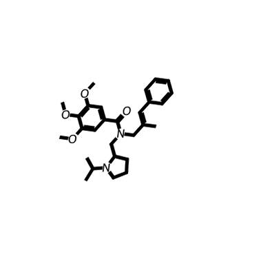 COc1cc(C(=O)N(CC(C)=Cc2ccccc2)CC2CCCN2C(C)C)cc(OC)c1OC